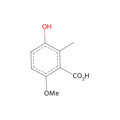 COc1ccc(O)c(C)c1C(=O)O